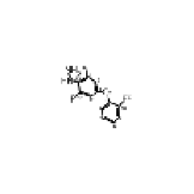 Cc1cc(Oc2ccccc2F)cc(F)c1NN